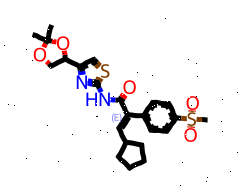 CC1(C)OCC(c2csc(NC(=O)/C(=C/C3CCCC3)c3ccc(S(C)(=O)=O)cc3)n2)O1